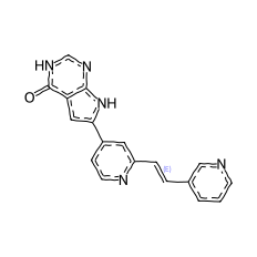 O=c1[nH]cnc2[nH]c(-c3ccnc(/C=C/c4cccnc4)c3)cc12